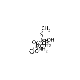 C=CCSCC[C@@](C)(CNO)C1CC(=O)N([C@@H](Cc2ccccc2)C(N)=O)C1=O